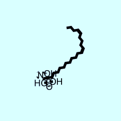 CCC/C=C\CCC/C=C\CCCCCCCCCCC(O)(C[N+](C)(C)C)P(=O)(O)O